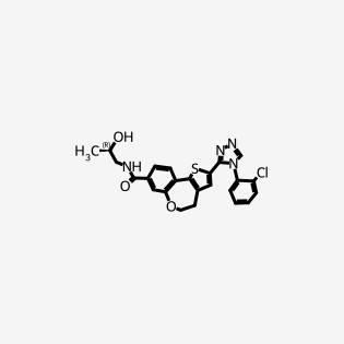 C[C@@H](O)CNC(=O)c1ccc2c(c1)OCCc1cc(-c3nncn3-c3ccccc3Cl)sc1-2